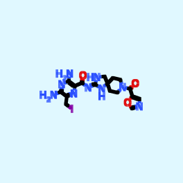 Nc1nc(N)c(C(=O)/N=C2\NCC3(CCN(C(=O)c4cnco4)CC3)N2)nc1CI